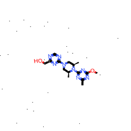 COc1nc(C)nc(N2[C@H](C)CN(c3ncnc(CO)n3)C[C@@H]2C)n1